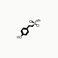 CCC[Si](Cl)(Cl)CCc1ccc(O)cc1